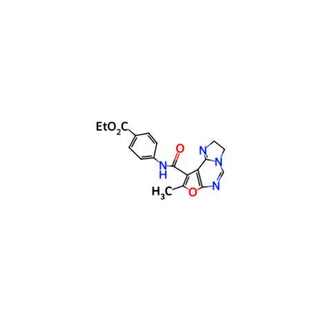 CCOC(=O)c1ccc(NC(=O)c2c(C)oc3c2C2=NCCN2C=N3)cc1